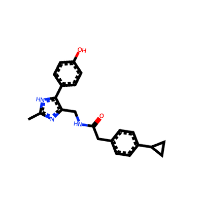 Cc1nc(CNC(=O)Cc2ccc(C3CC3)cc2)c(-c2ccc(O)cc2)[nH]1